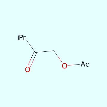 CC(=O)OCC(=O)C(C)C